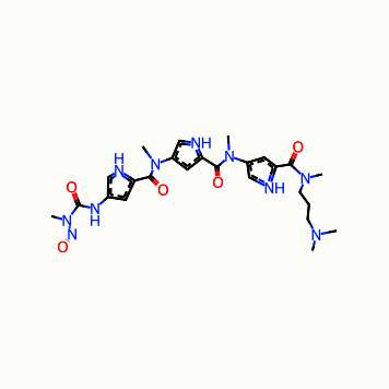 CN(C)CCCN(C)C(=O)c1cc(N(C)C(=O)c2cc(N(C)C(=O)c3cc(NC(=O)N(C)N=O)c[nH]3)c[nH]2)c[nH]1